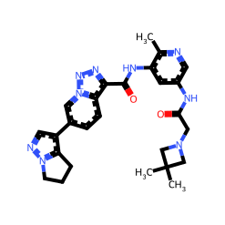 Cc1ncc(NC(=O)CN2CC(C)(C)C2)cc1NC(=O)c1nnn2cc(-c3cnn4c3CCC4)ccc12